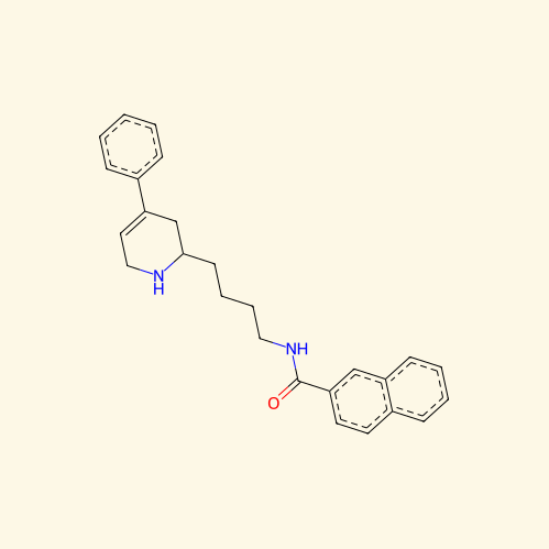 O=C(NCCCCC1CC(c2ccccc2)=CCN1)c1ccc2ccccc2c1